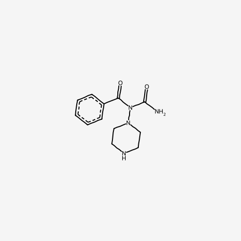 NC(=O)N(C(=O)c1ccccc1)N1CCNCC1